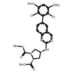 COC(=O)[C@@H]1C[C@H](Nc2ncc3cc(-c4c(Cl)c(OC)cc(OC)c4Cl)ccc3n2)CN1C(=O)OC(C)(C)C